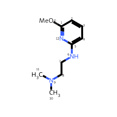 COc1cccc(NCCN(C)C)n1